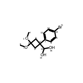 COC1(OC)CC(c2ccc(Br)cc2)(C(O)O)C1